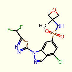 CC1(NS(=O)(=O)c2cc(Cl)c3cnn(-c4nnc(C(F)F)s4)c3c2)COC1